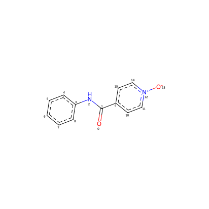 O=C(Nc1[c]cccc1)c1cc[n+]([O-])cc1